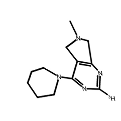 [3H]c1nc2c(c(N3CCCCC3)n1)CN(C)C2